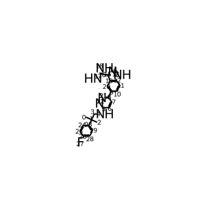 CC(C)(CNc1ccc(-c2ccc3[nH]nc(C(=N)N)c3c2)nn1)c1ccc(F)cc1